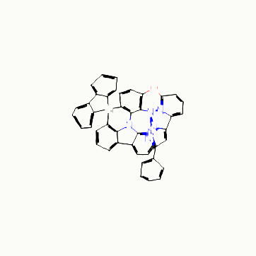 c1ccc(-c2cc3n(n2)[N+]24c5c(ccc6c5-n5c7c(cccc7c7ccc[n+]2c75)[Si]62c5ccccc5-c5ccccc52)Oc2cccc-3[n+]24)cc1